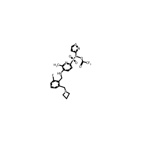 Cc1nc(S(=O)(=O)N(OC(=O)C(F)(F)F)c2ccsn2)ccc1NCc1c(F)cccc1CN1CCC1